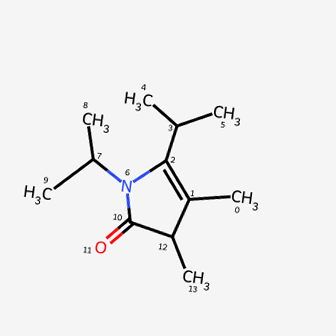 CC1=C(C(C)C)N(C(C)C)C(=O)C1C